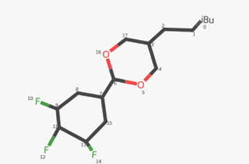 CCC(C)CCC1COC(C2CC(F)C(F)C(F)C2)OC1